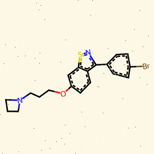 Brc1ccc(-c2nsc3cc(OCCCN4CCC4)ccc23)cc1